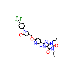 CCCn1c(=O)c2[nH]c(-c3ccc(OCC4CC(=O)N(c5ccc(C(F)(F)F)cc5)C4)nc3)nc2n(CCC)c1=O